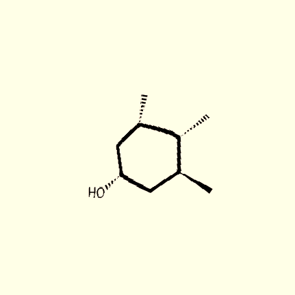 C[C@H]1C[C@H](O)C[C@H](C)[C@@H]1C